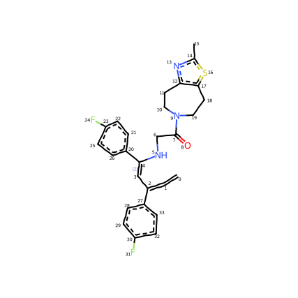 C=C=C(/C=C(\NCC(=O)N1CCc2nc(C)sc2CC1)c1ccc(F)cc1)c1ccc(F)cc1